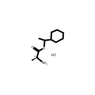 CC(OC(=O)[C@H](C)N)C1CCCCC1.Cl